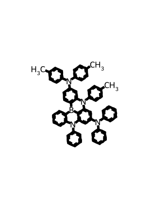 Cc1ccc(N(c2ccc(C)cc2)c2ccc3c(c2)N(c2ccc(C)cc2)c2cc(N(c4ccccc4)c4ccccc4)cc4c2B3c2ccccc2N4c2ccccc2)cc1